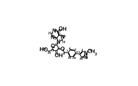 Cn1cc(-c2ccc(CO[C@@H]3[C@H](O)[C@@H](CO)O[C@H]3n3cnc4c(O)ncnc43)cc2)cn1